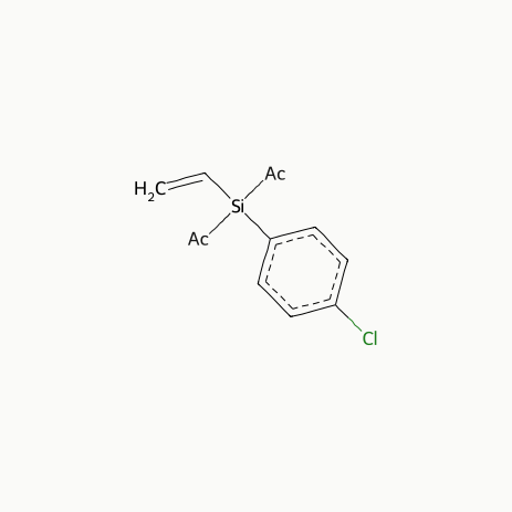 C=C[Si](C(C)=O)(C(C)=O)c1ccc(Cl)cc1